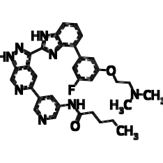 CCCCC(=O)Nc1cncc(-c2cc3c(-c4nc5c(-c6cc(F)cc(OCCN(C)C)c6)cccc5[nH]4)n[nH]c3cn2)c1